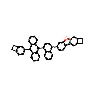 c1ccc2c(-c3c4ccccc4c(-c4ccc5c(c4)CC5)c4ccccc34)ccc(-c3ccc4c(c3)oc3cc5c(cc34)CC5)c2c1